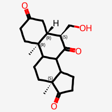 C[C@]12CCC3C(C(=O)[C@H](CO)[C@H]4CC(=O)CC[C@]34C)C1CCC2=O